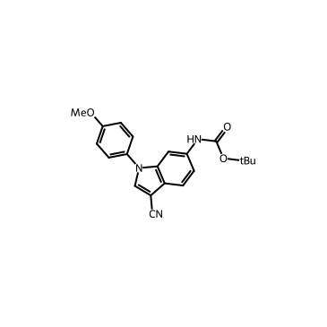 COc1ccc(-n2cc(C#N)c3ccc(NC(=O)OC(C)(C)C)cc32)cc1